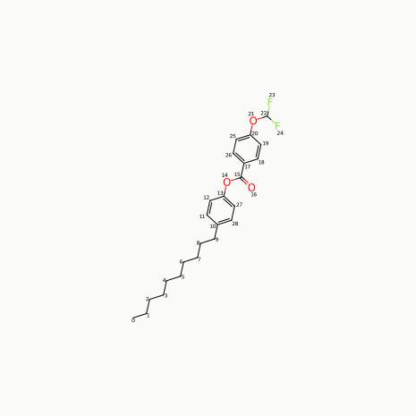 CCCCCCCCCCc1ccc(OC(=O)c2ccc(OC(F)F)cc2)cc1